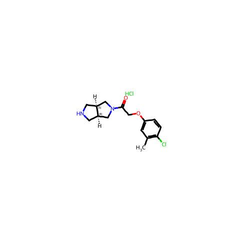 Cc1cc(OCC(=O)N2C[C@H]3CNC[C@H]3C2)ccc1Cl.Cl